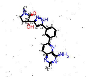 [2H]c1nc(N)c2nc(-c3cccc(-c4cc([C@@]5(O)CCN(C)C5=O)n[nH]4)c3)ccc2n1